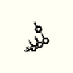 N#Cc1ccccc1.N#Cc1ccccc1.N#Cc1ccccc1.N#Cc1ccccc1.[C]=O.[C]=O.[W]